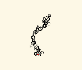 CN(C)C(=O)c1cc2cnc(Nc3ccc(N4CCC(CN5CCN(C6CCN(c7ccc8c(c7)C(=O)N(N7CCC(=O)NC7=O)C8=O)CC6(F)F)CC5)CC4)cn3)nc2n1C1CCCC1